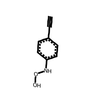 C#Cc1ccc(NOO)cc1